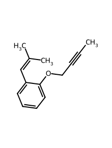 CC#CCOc1ccccc1C=C(C)C